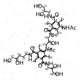 CC(=O)Nc1c(I)c(C(=O)NCC(O)CO)c(I)c(C(=O)NCC(O)CN(C(C)=O)c2c(I)c(C(=O)NCCCC(O)CO)c(I)c(C(=O)NCC(O)CO)c2I)c1I